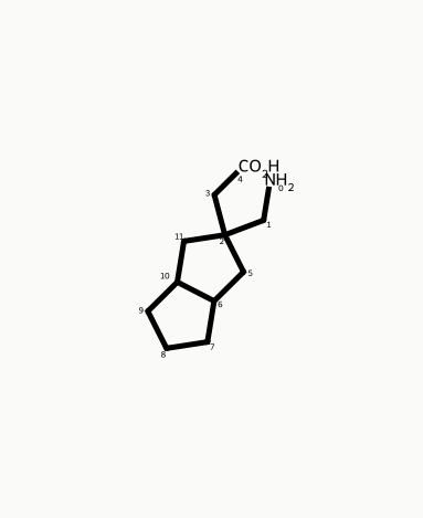 NCC1(CC(=O)O)CC2CCCC2C1